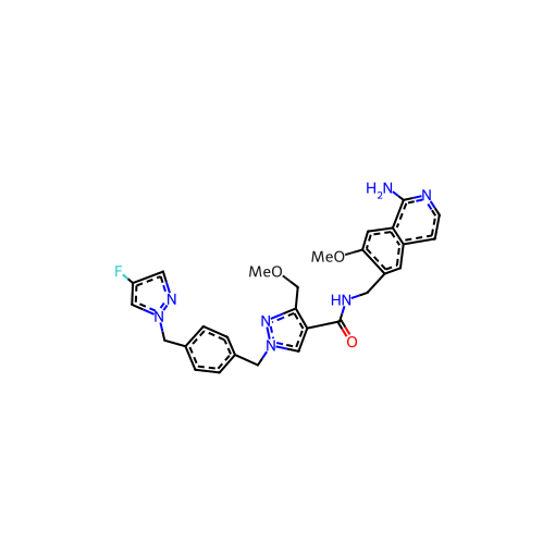 COCc1nn(Cc2ccc(Cn3cc(F)cn3)cc2)cc1C(=O)NCc1cc2ccnc(N)c2cc1OC